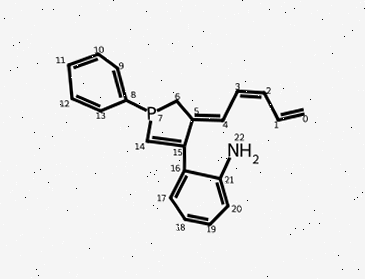 C=C/C=C\C=C1/CP(c2ccccc2)C=C1c1ccccc1N